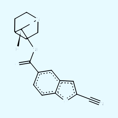 N#Cc1cc2cc(C(=O)N[C@H]3CN4CCC3CC4)ccc2o1